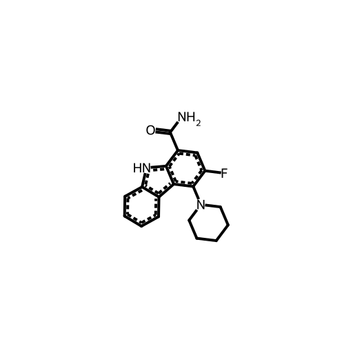 NC(=O)c1cc(F)c(N2CCCCC2)c2c1[nH]c1ccccc12